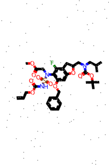 C=CCOC(=O)NS(=O)(=O)N(CC(=O)OC)c1c(OCc2ccccc2)cc2c(c1F)CC(CN(CC(C)C)C(=O)OC(C)(C)C)O2